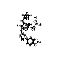 O=C(NCc1cn(-c2ccc3c(c2)OCO3)nn1)C(Cc1cscn1)NC(=O)[C@H]1O[C@@H]1C(=O)O